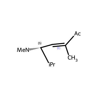 CN[C@H](/C=C(\C)C(C)=O)C(C)C